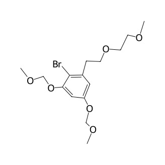 COCCOCCc1cc(OCOC)cc(OCOC)c1Br